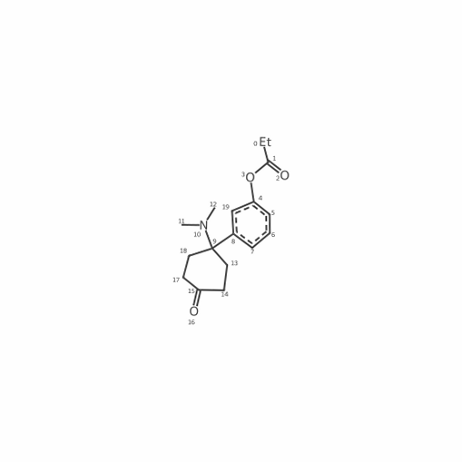 CCC(=O)Oc1cccc(C2(N(C)C)CCC(=O)CC2)c1